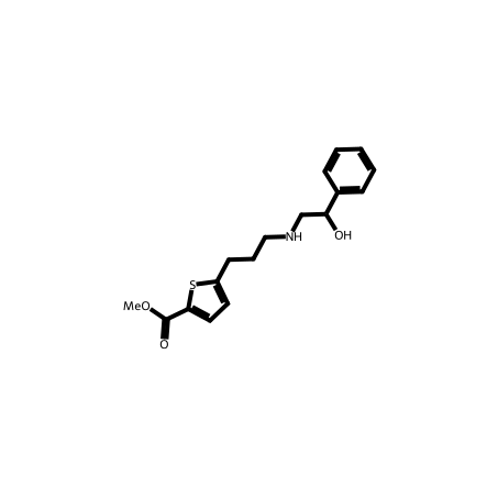 COC(=O)c1ccc(CCCNCC(O)c2ccccc2)s1